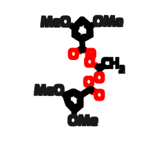 C=C(OOC(=O)c1cc(OC)cc(OC)c1)OOC(=O)c1cc(OC)cc(OC)c1